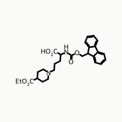 CCOC(=O)C1CCN(CCCC(NC(=O)OCC2c3ccccc3-c3ccccc32)C(=O)O)CC1